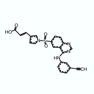 C#Cc1cccc(Nc2ncnc3ccc(S(=O)(=O)n4ccc(/C=C/C(=O)O)c4)cc23)c1